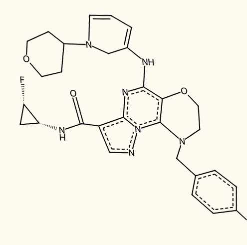 COc1ccc(CN2CCOc3c(NC4=CC=CN(C5CCOCC5)C4)nc4c(C(=O)N[C@@H]5C[C@@H]5F)cnn4c32)cc1